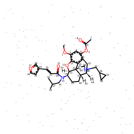 COc1cc(OC(C)=O)c2c3c1O[C@@H]1[C@H](N(CC(C)C)C(=O)C=Cc4ccoc4)CC[C@H]4[C@@H](C2)N(CC2CC2)CC[C@]314